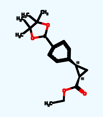 CCOC(=O)[C@@H]1C[C@@H]1c1ccc(B2OC(C)(C)C(C)(C)O2)cc1